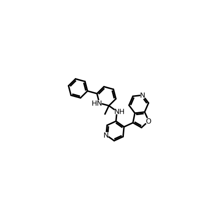 CC1(Nc2cnccc2-c2coc3cnccc23)C=CC=C(c2ccccc2)N1